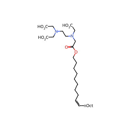 CCCCCCCC/C=C\CCCCCCCCOC(=O)CN(CCN(CC(=O)O)CC(=O)O)CC(=O)O